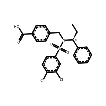 CC[C@@H](c1ccccc1)N(Cc1ccc(C(=O)O)cc1)S(=O)(=O)c1ccc(Cl)c(Cl)c1